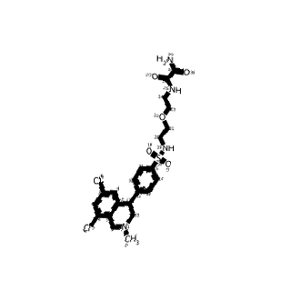 CN1Cc2c(Cl)cc(Cl)cc2C(c2ccc(S(=O)(=O)NCCOCCNC(=O)C(N)=O)cc2)C1